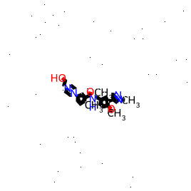 COc1ccc(C(C)NC(=O)c2cc(N3CCN(CCO)CC3)ccc2C)cc1-c1cnn(C)c1